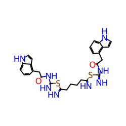 N=C(CCCCC(=N)SC(=N)NC(=O)Cc1cccc2[nH]ccc12)SC(=N)NC(=O)Cc1cccc2[nH]ccc12